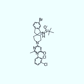 Cc1nc(N2CCC3(CC2)Cc2ccc(Br)cc2[C@H]3N[S+]([O-])C(C)(C)C)cc(=O)n1-c1cccc(Cl)c1Cl